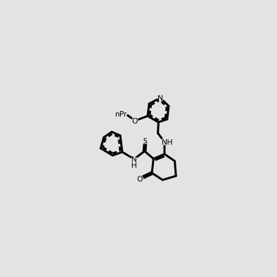 CCCOc1cnccc1CNC1=C(C(=S)Nc2ccccc2)C(=O)CCC1